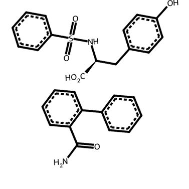 NC(=O)c1ccccc1-c1ccccc1.O=C(O)[C@H](Cc1ccc(O)cc1)NS(=O)(=O)c1ccccc1